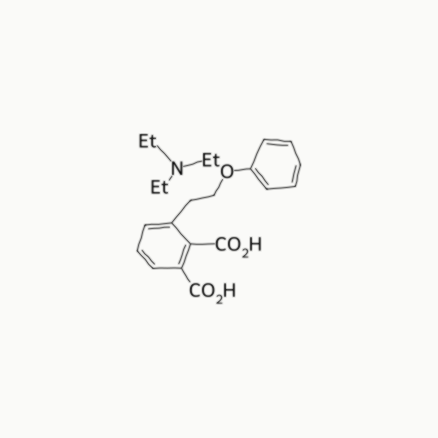 CCN(CC)CC.O=C(O)c1cccc(CCOc2ccccc2)c1C(=O)O